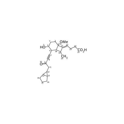 COC12CCC(O)C(C#CC(=O)CC3C4CCCC43)C1C(C)C2=CCCC(=O)O